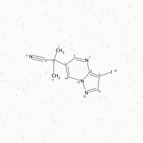 CC(C)(C#N)c1cnc2c(I)cnn2c1